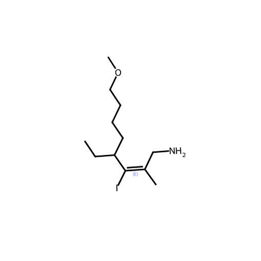 CCC(CCCCOC)/C(I)=C(/C)CN